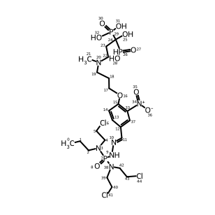 CCCN(CCCl)P(=O)(N/N=C/c1ccc(OCCCN(C)CCC(O)([PH](=O)O)P(=O)(O)O)c([N+](=O)[O-])c1)N(CCCl)CCCl